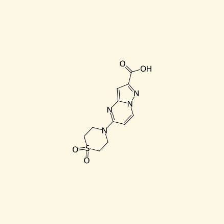 O=C(O)c1cc2nc(N3CCS(=O)(=O)CC3)ccn2n1